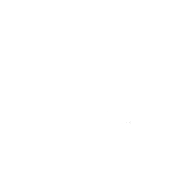 CCCCCc1cc2ccc[c]c2o1